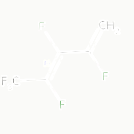 C=C(F)/C(F)=C(\F)C(F)(F)F